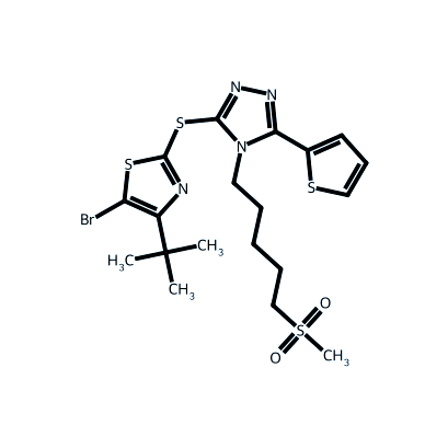 CC(C)(C)c1nc(Sc2nnc(-c3cccs3)n2CCCCCS(C)(=O)=O)sc1Br